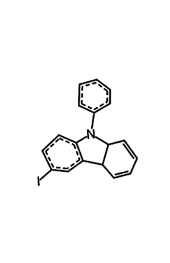 Ic1ccc2c(c1)C1C=CC=CC1N2c1ccccc1